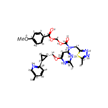 COc1ccc(C(=O)OCOC(=O)N(Cc2nnc(C)s2)c2cc(OC[C@H]3C[C@@H]3c3ccc(C)cn3)nc(C)n2)cc1